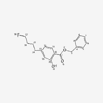 O=C(OCc1ccccc1)c1ccc(CCCCF)cc1O